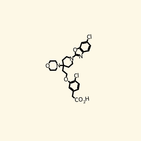 O=C(O)Cc1ccc(Cl)c(OCCC2(N3CCOCC3)CCN(c3nc4ccc(Cl)cc4o3)CC2)c1